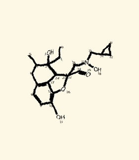 CCC1(O)C(C)Cc2ccc(O)c3c2[C@]1(CCN(O)CC1CC1)C(C=O)O3